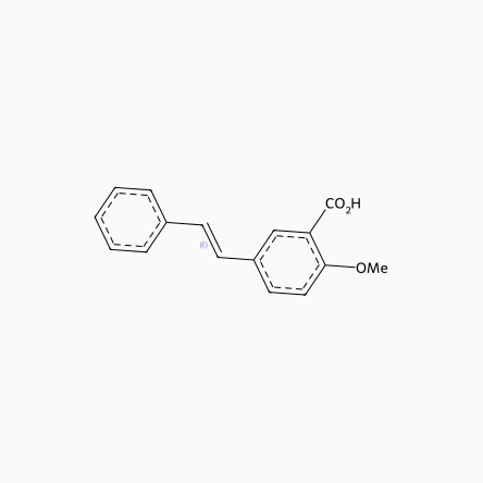 COc1ccc(/C=C/c2ccccc2)cc1C(=O)O